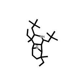 CCC1(C)CCC2NC1C1C(CC(C)(C)C)NC(CC(C)(C)C)C(C)(CC)C21